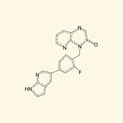 O=c1cnc2cccnc2n1Cc1ccc(-c2cnc3[nH]ccc3c2)cc1F